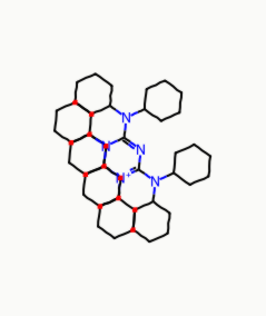 C1CCC(N(C(=NC(N(C2CCCCC2)C2CCCCC2)=[N+](C2CCCCC2)C2CCCCC2)N(C2CCCCC2)C2CCCCC2)C2CCCCC2)CC1